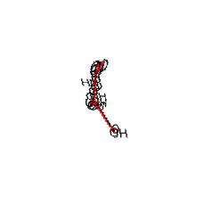 O=C(O)CCCCCCCCCCCCCCCCCCC(=O)N[C@@H](CCC(=O)NCCOCCOCC(=O)NCCOCCOCC(=O)ON1C(=O)CCC1=O)C(=O)O